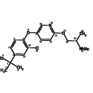 CCC(C)(C)c1ccc(Oc2ccc(OCC(C)NC(C)=O)nc2)c(Cl)c1